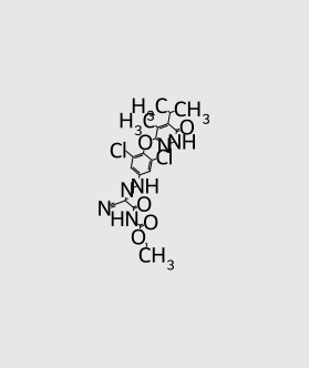 CCOC(=O)NC(=O)C(C#N)=NNc1cc(Cl)c(Oc2n[nH]c(=O)c(C(C)C)c2C)c(Cl)c1